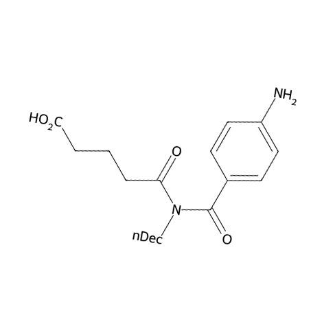 CCCCCCCCCCN(C(=O)CCCC(=O)O)C(=O)c1ccc(N)cc1